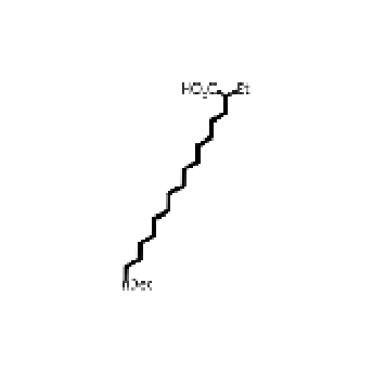 CCCCCCCCCCCCCCCCCCCCCCCCC(CC)C(=O)O